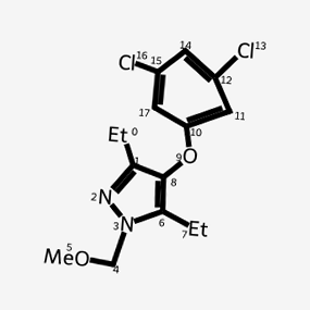 CCc1nn(COC)c(CC)c1Oc1cc(Cl)cc(Cl)c1